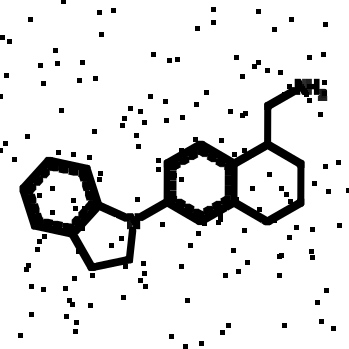 NCC1CCCc2cc(N3CCc4ccccc43)ccc21